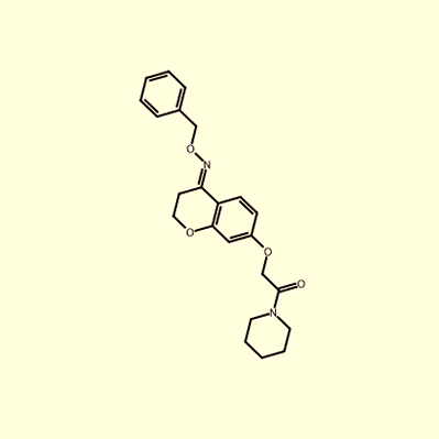 O=C(COc1ccc2c(c1)OCCC2=NOCc1ccccc1)N1CCCCC1